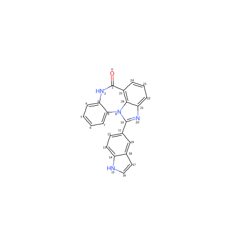 O=C1Nc2ccccc2-n2c(-c3ccc4[nH]ccc4c3)nc3cccc1c32